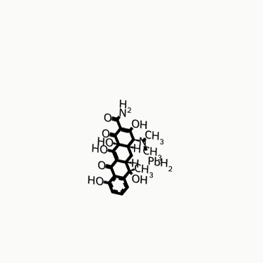 CN(C)[C@@H]1C(O)=C(C(N)=O)C(=O)[C@@]2(O)C(O)=C3C(=O)c4c(O)cccc4[C@@](C)(O)[C@H]3C[C@@H]12.[PbH2]